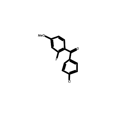 COc1ccc(C(=O)c2ccc(Cl)cc2)c(F)c1